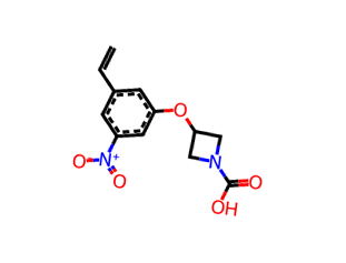 C=Cc1cc(OC2CN(C(=O)O)C2)cc([N+](=O)[O-])c1